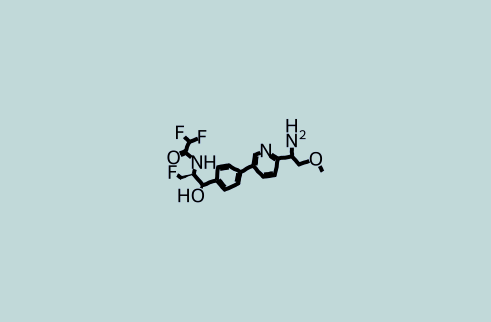 COCC(N)c1ccc(-c2ccc([C@@H](O)[C@@H](CF)NC(=O)C(F)F)cc2)cn1